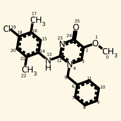 COc1cn(Cc2ccccc2)c(Nc2cc(C)c(Cl)cc2C)nc1=O